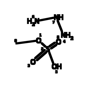 COS(=O)(=O)O.NNN